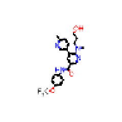 Cc1ccc(-c2cc(C(=O)Nc3ccc(OC(F)(F)F)cc3)cnc2N(C)CCCO)cn1